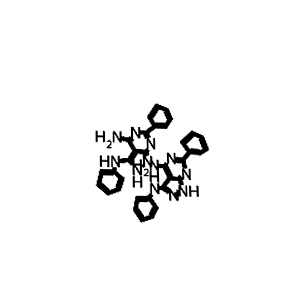 Nc1nc(-c2ccccc2)nc2[nH]nc(Nc3ccccc3)c12.Nc1nc(-c2ccccc2)nc2n[nH]c(Nc3ccccc3)c12